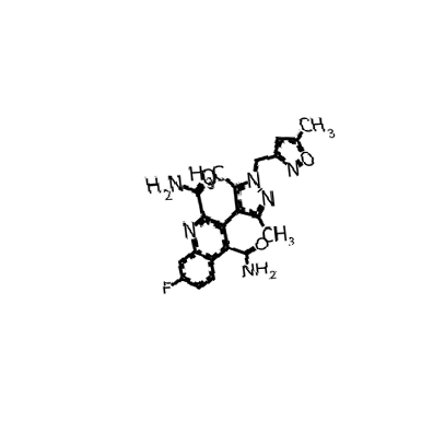 Cc1cc(Cn2nc(C)c(-c3c(C(N)=O)nc4cc(F)ccc4c3C(N)=O)c2C)no1